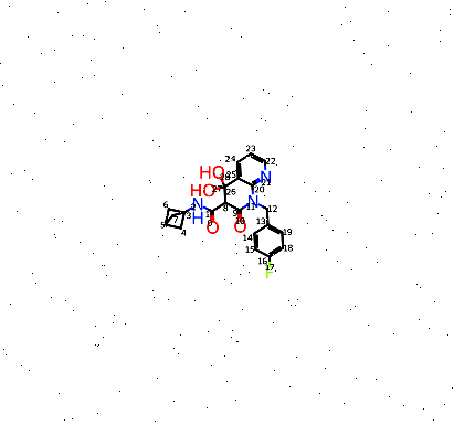 O=C(NC12CC(C1)C2)C1C(=O)N(Cc2ccc(F)cc2)c2ncccc2C1(O)O